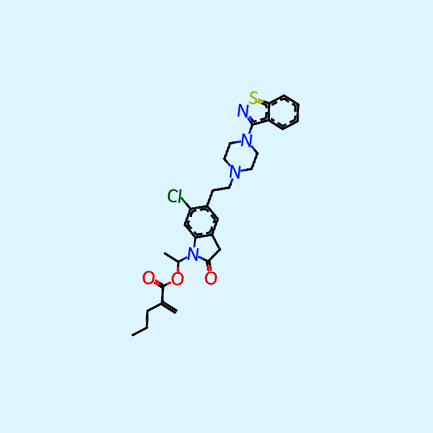 C=C(CCC)C(=O)OC(C)N1C(=O)Cc2cc(CCN3CCN(c4nsc5ccccc45)CC3)c(Cl)cc21